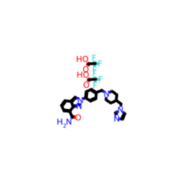 NC(=O)c1cccc2cn(-c3ccc(CN4CCC(Cn5ccnc5)CC4)cc3)nc12.O=C(O)C(F)(F)F.O=C(O)C(F)(F)F